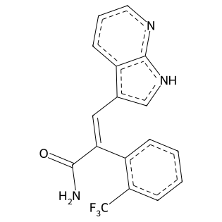 NC(=O)C(=Cc1c[nH]c2ncccc12)c1ccccc1C(F)(F)F